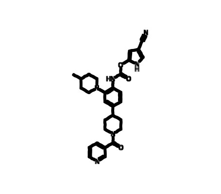 CC1CCN(c2cc(C3CCN(C(=O)c4cccnc4)CC3)ccc2NC(=O)Oc2cc(C#N)c[nH]2)CC1